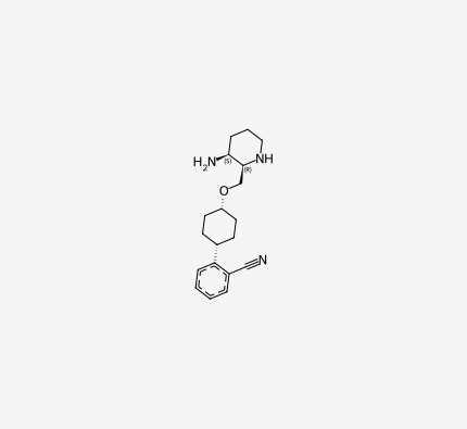 N#Cc1ccccc1[C@H]1CC[C@@H](OC[C@@H]2NCCC[C@@H]2N)CC1